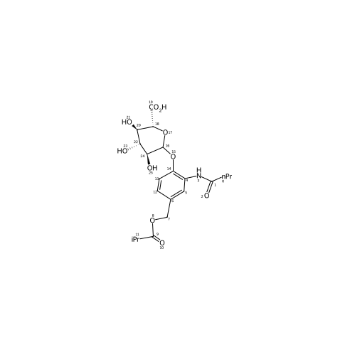 CCCC(=O)Nc1cc(COC(=O)C(C)C)ccc1OC1O[C@@H](C(=O)O)[C@H](O)[C@@H](O)[C@@H]1O